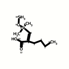 CCCCC(=C[Si](C)(C)O[SiH3])C(=O)O